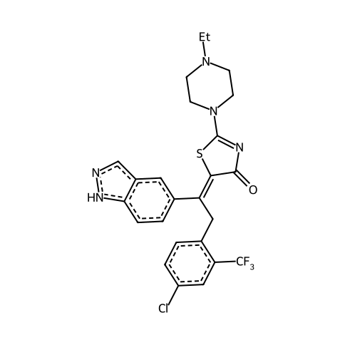 CCN1CCN(C2=NC(=O)C(=C(Cc3ccc(Cl)cc3C(F)(F)F)c3ccc4[nH]ncc4c3)S2)CC1